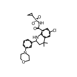 CC1(C)CC(c2cccc(N3CCOCC3)c2)Nc2c(C(=O)NS(=O)(=O)C3CC3)cc(Cl)cc21